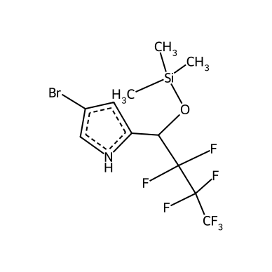 C[Si](C)(C)OC(c1cc(Br)c[nH]1)C(F)(F)C(F)(F)C(F)(F)F